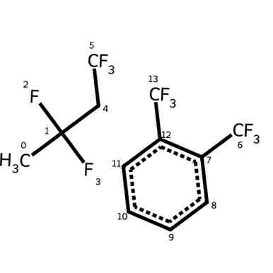 CC(F)(F)CC(F)(F)F.FC(F)(F)c1ccccc1C(F)(F)F